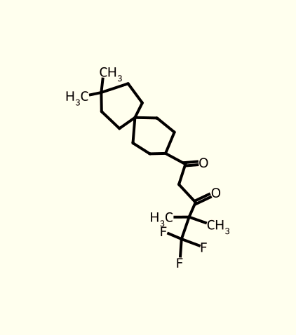 CC1(C)CCC2(CCC(C(=O)CC(=O)C(C)(C)C(F)(F)F)CC2)CC1